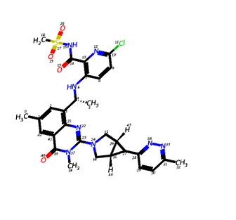 Cc1cc([C@@H](C)Nc2ccc(Cl)nc2C(=O)NS(C)(=O)=O)c2nc(N3C[C@@H]4C(c5ccc(C)nn5)[C@@H]4C3)n(C)c(=O)c2c1